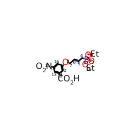 CCOP(=O)(C/C=C/COc1cc(C(=O)O)cc([N+](=O)[O-])c1)OCC